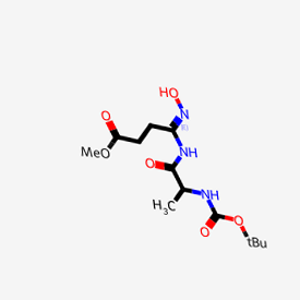 COC(=O)CC/C(=N\O)NC(=O)C(C)NC(=O)OC(C)(C)C